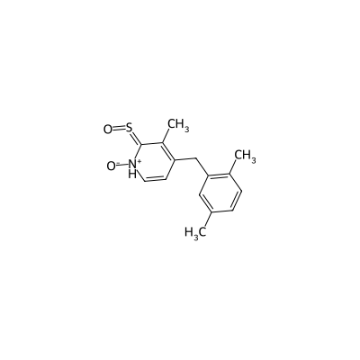 CC1=C(Cc2cc(C)ccc2C)C=C[NH+]([O-])C1=S=O